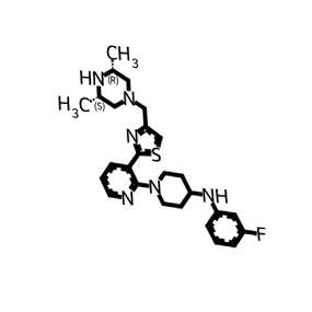 C[C@@H]1CN(Cc2csc(-c3cccnc3N3CCC(Nc4cccc(F)c4)CC3)n2)C[C@H](C)N1